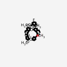 COc1ccc2cc1Oc1ccc(cc1)C[C@H]1c3cc(c(OC)cc3CCN1C)Oc1c(OC(=O)c3cc(F)cc(F)c3)c(OC)cc3c1[C@H](C2)N(C)CC3